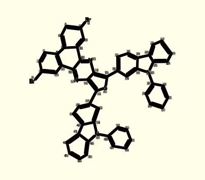 Brc1ccc2c3ccc(Br)cc3c3nc4c(-c5ccc6c7ccccc7n(-c7ccccc7)c6c5)sc(-c5ccc6c7ccccc7n(-c7ccccc7)c6c5)c4nc3c2c1